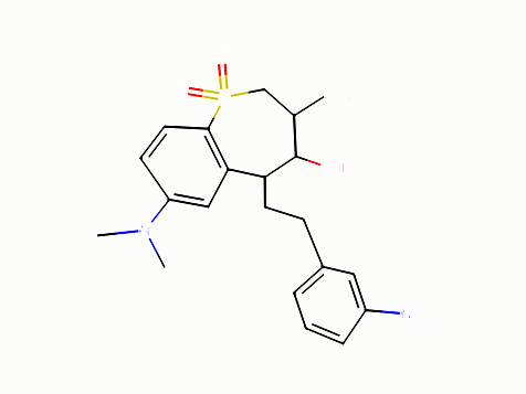 CCCCC1CS(=O)(=O)c2ccc(N(C)C)cc2C(CCc2cccc(N)c2)C1O